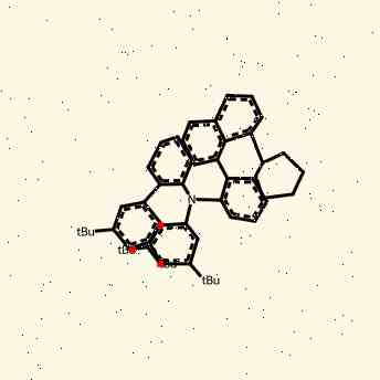 CC(C)(C)c1cc(-c2ccccc2N(c2cc(C(C)(C)C)cc(C(C)(C)C)c2)c2ccccc2-c2cccc3cccc(C4CCCCC4)c23)cc(C(C)(C)C)c1